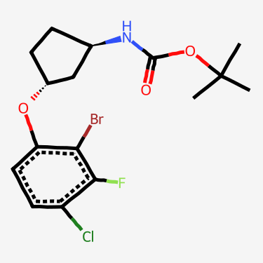 CC(C)(C)OC(=O)N[C@@H]1CC[C@@H](Oc2ccc(Cl)c(F)c2Br)C1